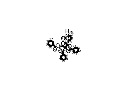 O=C(OC[C@H]1O[C@@H](n2ccc(=O)[nH]c2=O)[C@H](OC(=O)c2ccccc2)[C@@H]1OC(=O)c1ccccc1)c1ccccc1